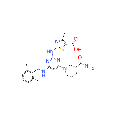 Cc1cccc(C)c1CNc1cc(N2CCCC(C(N)=O)C2)nc(Nc2nc(C)c(C(=O)O)s2)n1